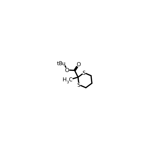 CC(C)(C)OC(=O)C1(C)SCCCS1